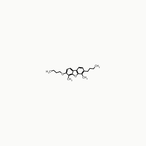 CCCCOc1ccc2c(oc3c(C)c(CCCC)ccc32)c1C